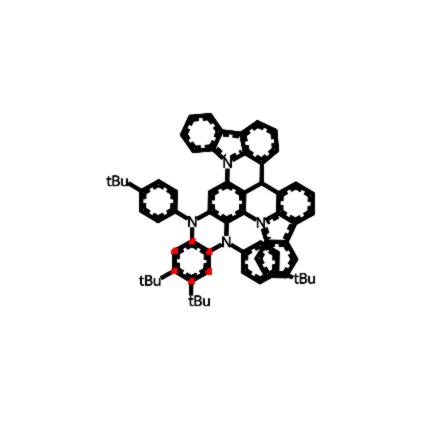 CC(C)(C)c1ccc(N(c2ccc(C(C)(C)C)cc2)c2cc3c4c(c2N(c2ccc(C(C)(C)C)cc2)c2ccc(C(C)(C)C)cc2)-n2c5ccccc5c5cccc(c52)C4c2cccc4c5ccccc5n-3c24)cc1